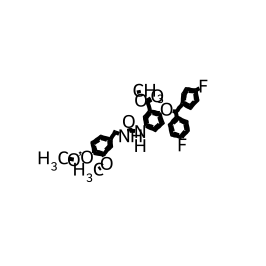 COCOc1ccc(CNC(=O)Nc2ccc(OC(c3ccc(F)cc3)c3ccc(F)cc3)c(C(=O)OC)c2)cc1OC